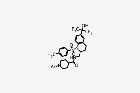 CC(=O)N1CCC(C(=O)NC[C@@H]2CCc3cc(C(O)(C(F)(F)F)C(F)(F)F)ccc3N2S(=O)(=O)c2ccc(C)cc2)CC1